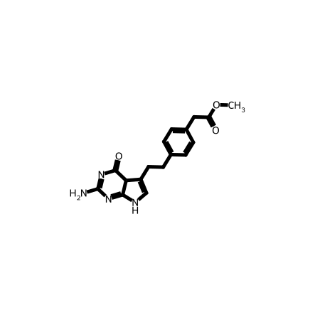 COC(=O)Cc1ccc(CCC2=CNC3=NC(N)=NC(=O)C23)cc1